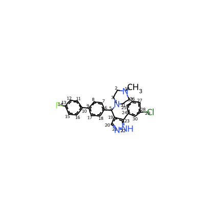 CN1CCN(C(c2ccc(-c3ccc(F)cc3)cc2)c2cn[nH]c2-c2cccc(Cl)c2)CC1